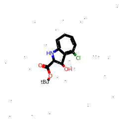 CC(C)(C)OC(=O)C1NC2=CCC=CC(Cl)=C2C1O